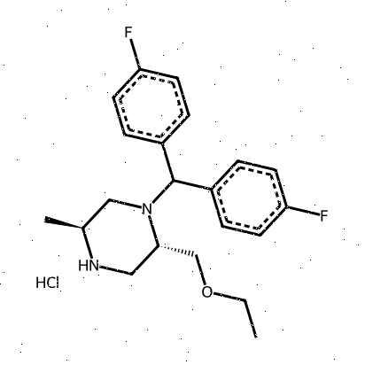 CCOC[C@@H]1CN[C@@H](C)CN1C(c1ccc(F)cc1)c1ccc(F)cc1.Cl